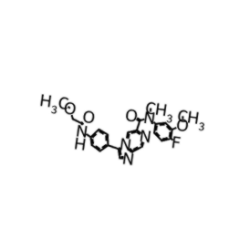 COCC(=O)Nc1ccc(-c2cnc3cnc(C(=O)N(C)c4ccc(F)c(OC)c4)cn23)cc1